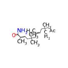 CC(=O)CC(C)(C)C/C=C(\C)CC(C)(C)C/C=C(\C)C(N)=O